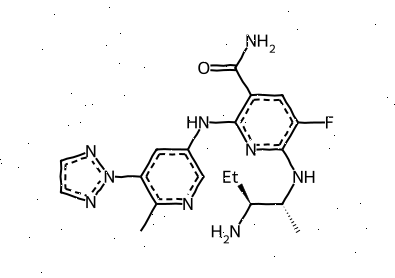 CC[C@H](N)[C@@H](C)Nc1nc(Nc2cnc(C)c(-n3nccn3)c2)c(C(N)=O)cc1F